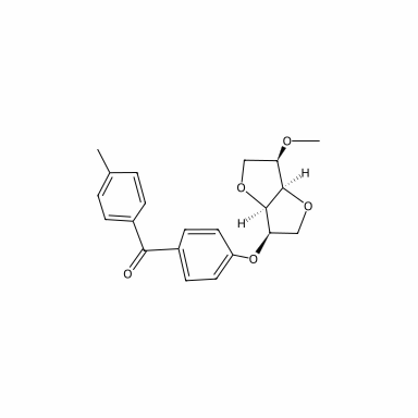 CO[C@@H]1CO[C@H]2[C@@H]1OC[C@H]2Oc1ccc(C(=O)c2ccc(C)cc2)cc1